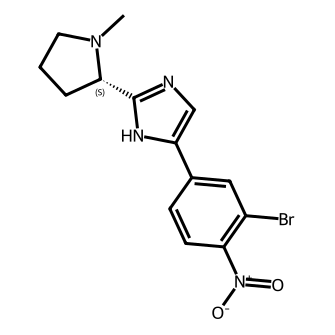 CN1CCC[C@H]1c1ncc(-c2ccc([N+](=O)[O-])c(Br)c2)[nH]1